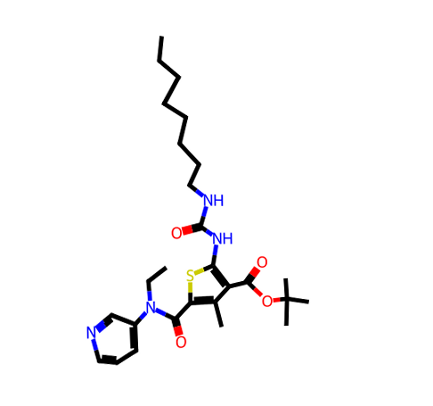 CCCCCCCCNC(=O)Nc1sc(C(=O)N(CC)c2cccnc2)c(C)c1C(=O)OC(C)(C)C